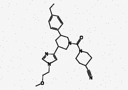 CCc1ccc(C2CC(c3cn(CCOC)cn3)CN(C(=O)N3CCC(C#N)CC3)C2)cc1